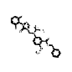 COc1ccc(N(Cn2nnn(-c3c(F)cccc3F)c2=O)C(C)C)cc1C(=O)OCc1ccccc1